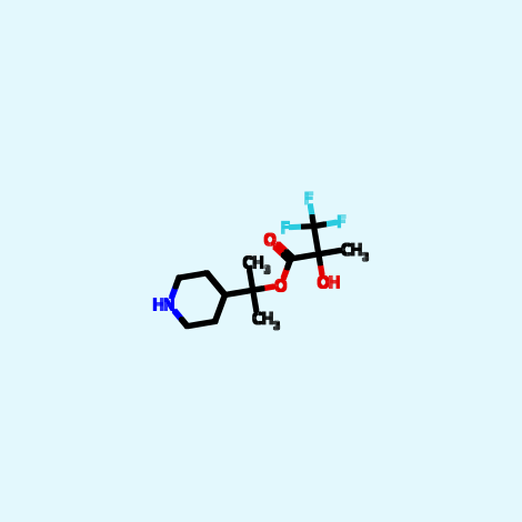 CC(C)(OC(=O)C(C)(O)C(F)(F)F)C1CCNCC1